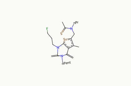 C=C1c2c(sc(CN(CCC)C(C)=S)c2C)N(CCCF)C(=C)N1CCCCC